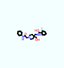 O=C(CN1CCC(CO)(CNC(O)c2ccccc2F)CC1)Nc1ccccc1